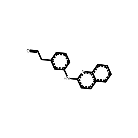 O=CCc1cccc(Nc2ccc3ccccc3n2)c1